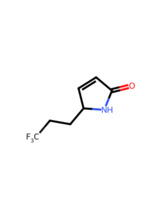 O=C1C=CC(CCC(F)(F)F)N1